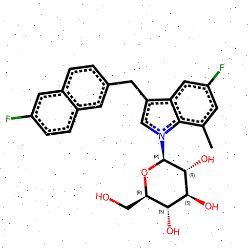 Cc1cc(F)cc2c(Cc3ccc4cc(F)ccc4c3)cn([C@@H]3O[C@H](CO)[C@@H](O)[C@H](O)[C@H]3O)c12